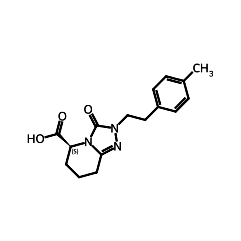 Cc1ccc(CCn2nc3n(c2=O)[C@H](C(=O)O)CCC3)cc1